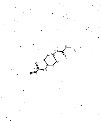 C=CC(=O)ON1CCN(OC(=O)C=C)CC1